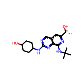 C[C@@H](O)c1cc2cnc(NC3CCC(O)CC3)nc2c(NC(C)(C)C)n1